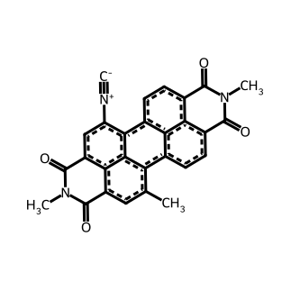 [C-]#[N+]c1cc2c3c(cc(C)c4c5ccc6c7c(ccc(c1c34)c75)C(=O)N(C)C6=O)C(=O)N(C)C2=O